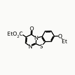 CCOC(=O)c1cnc2sc3cc(OCC)ccc3n2c1=O